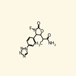 CC(C(N)=O)C1OC(=O)N(F)C1c1ccc(-n2cnnn2)cc1